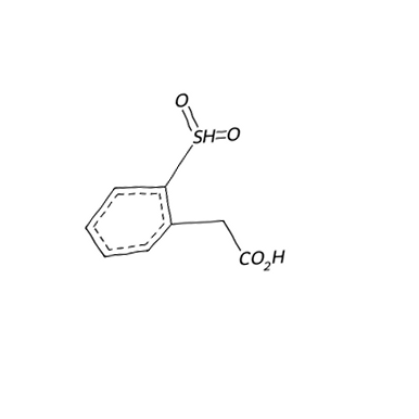 O=C(O)Cc1ccccc1[SH](=O)=O